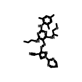 CCCNc1nc(Nc2c(C)cc(C)cc2C)nc(NC(C)COC)c1N=Nc1nn(-c2ncccn2)cc1C#N